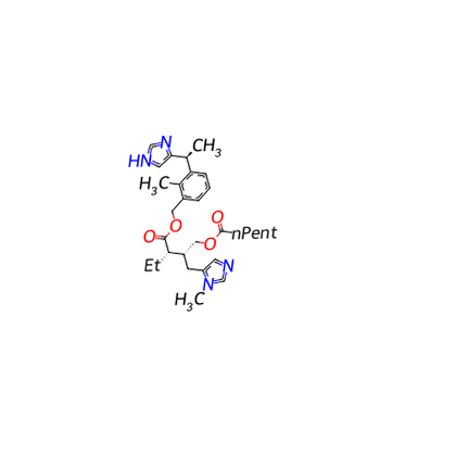 CCCCCC(=O)OC[C@H](Cc1cncn1C)[C@H](CC)C(=O)OCc1cccc([C@H](C)c2c[nH]cn2)c1C